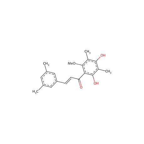 COc1c(C)c(O)c(C)c(O)c1C(=O)C=Cc1cc(C)cc(C)c1